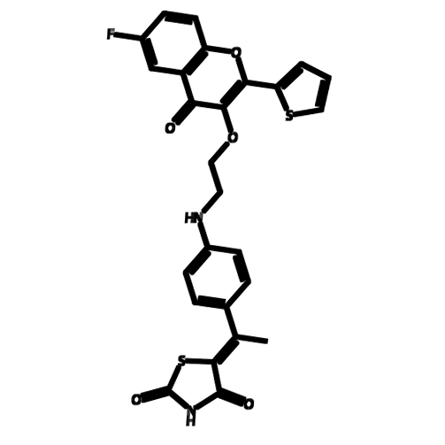 C/C(=C1/SC(=O)NC1=O)c1ccc(NCCOc2c(-c3cccs3)oc3ccc(F)cc3c2=O)cc1